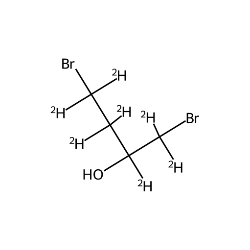 [2H]C([2H])(Br)C([2H])([2H])C([2H])(O)C([2H])([2H])Br